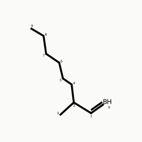 B=CC(C)CCCCCC